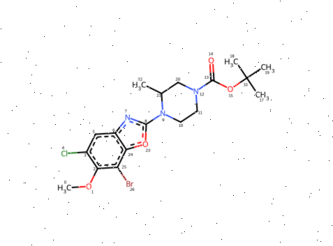 COc1c(Cl)cc2nc(N3CCN(C(=O)OC(C)(C)C)CC3C)oc2c1Br